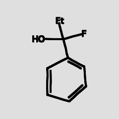 CCC(O)(F)c1ccccc1